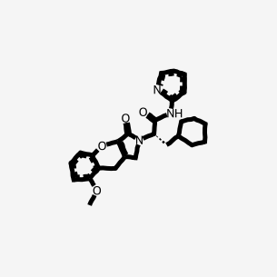 COc1cccc2c1CC1=C(O2)C(=O)N([C@@H](CC2CCCCC2)C(=O)Nc2ccccn2)C1